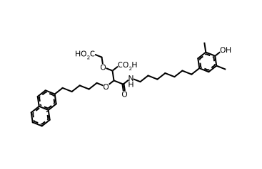 Cc1cc(CCCCCCCNC(=O)C(OCCCCCc2ccc3ccccc3c2)C(OCC(=O)O)C(=O)O)cc(C)c1O